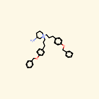 N[C@H]1CCC[N+](CCCc2ccc(OCc3ccccc3)cc2)(CCCc2ccc(OCc3ccccc3)cc2)C1